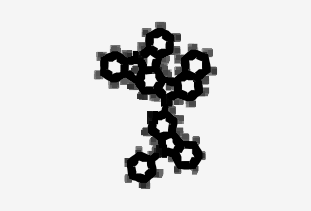 c1ccc(-n2c3ccccc3c3cc(-n4c5ccc6ccccc6c5c5c6c7ccccc7n7c8ccccc8c(cc54)c67)ncc32)cc1